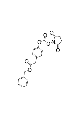 O=C(Cc1ccc(OC(=O)ON2C(=O)CCC2=O)cc1)OCc1ccccc1